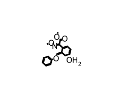 CON=C(C(=O)OC)C1=CC=CCC1=COc1ccccc1.O